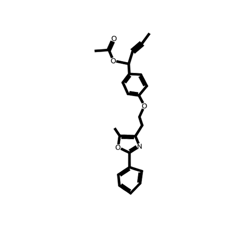 CC#CC(OC(C)=O)c1ccc(OCCc2nc(-c3ccccc3)oc2C)cc1